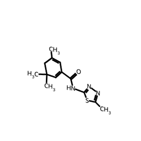 CC1=CC(C(=O)Nc2nnc(C)s2)=CC(C)(C)C1